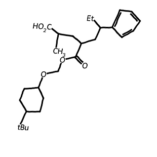 CCC(CC(CC(C)C(=O)O)C(=O)OCOC1CCC(C(C)(C)C)CC1)c1ccccc1